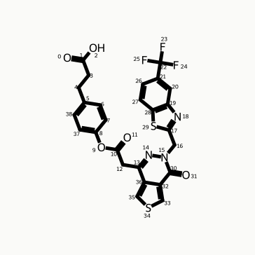 O=C(O)CCc1ccc(OC(=O)Cc2nn(Cc3nc4cc(C(F)(F)F)ccc4s3)c(=O)c3cscc23)cc1